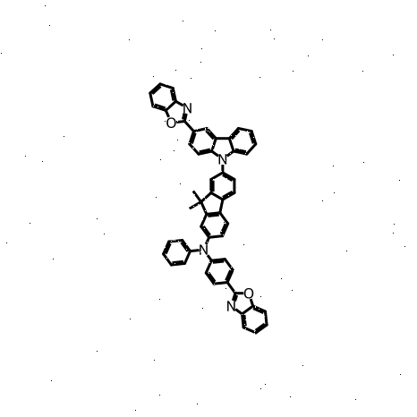 CC1(C)c2cc(N(c3ccccc3)c3ccc(-c4nc5ccccc5o4)cc3)ccc2-c2ccc(-n3c4ccccc4c4cc(-c5nc6ccccc6o5)ccc43)cc21